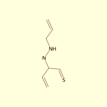 C=CCN[N]C(C=C)C=S